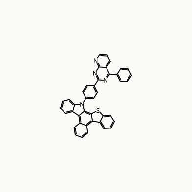 c1ccc(-c2nc(-c3ccc(-n4c5ccccc5c5c6ccccc6c6c7ccccc7sc6c54)cc3)nc3ncccc23)cc1